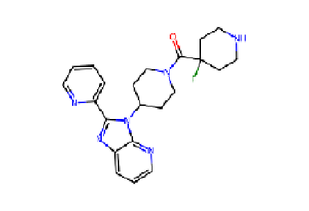 O=C(N1CCC(n2c(-c3ccccn3)nc3cccnc32)CC1)C1(F)CCNCC1